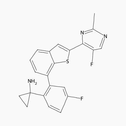 Cc1ncc(F)c(-c2cc3cccc(-c4cc(F)ccc4C4(N)CC4)c3s2)n1